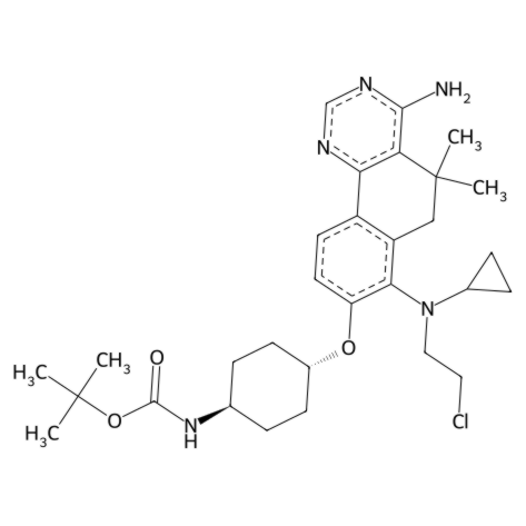 CC(C)(C)OC(=O)N[C@H]1CC[C@H](Oc2ccc3c(c2N(CCCl)C2CC2)CC(C)(C)c2c(N)ncnc2-3)CC1